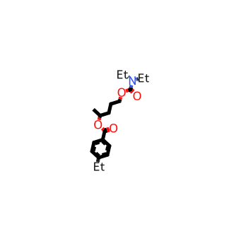 CCc1ccc(C(=O)OC(C)CCCOC(=O)N(CC)CC)cc1